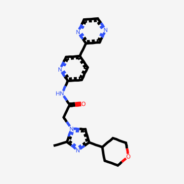 Cc1nc(C2CCOCC2)cn1CC(=O)Nc1ccc(-c2cnccn2)cn1